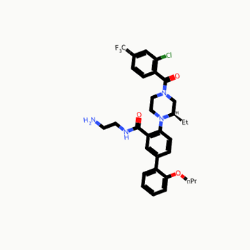 CCCOc1ccccc1-c1ccc(N2CCN(C(=O)c3ccc(C(F)(F)F)cc3Cl)C[C@H]2CC)c(C(=O)NCCN)c1